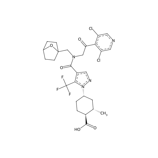 C[C@H]1C[C@@H](n2ncc(C(=O)N(CC(=O)c3c(Cl)cncc3Cl)CC34CCC(CC3)O4)c2C(F)(F)F)CC[C@@H]1C(=O)O